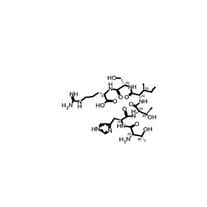 CC[C@H](C)[C@H](NC(=O)[C@@H](NC(=O)[C@H](Cc1c[nH]cn1)NC(=O)[C@@H](N)[C@@H](C)O)[C@@H](C)O)C(=O)N[C@@H](CO)C(=O)N[C@@H](CCCNC(=N)N)C(=O)O